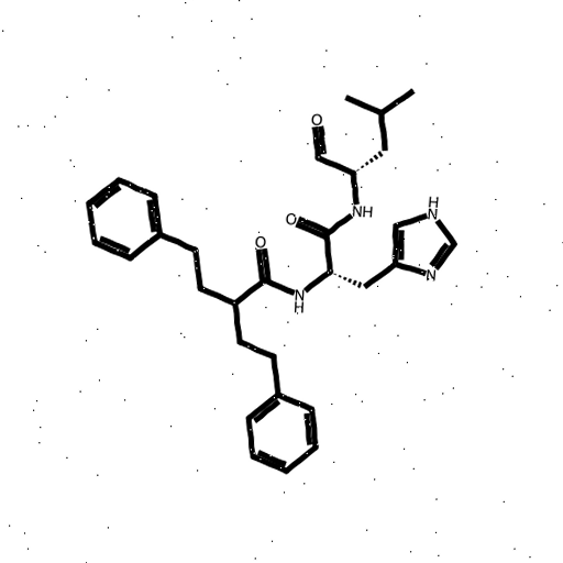 CC(C)C[C@@H](C=O)NC(=O)[C@H](Cc1c[nH]cn1)NC(=O)C(CCc1ccccc1)CCc1ccccc1